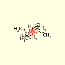 CCCCCC(OS(=O)(=O)OC(CCCCC)[Si](C)(C)C)[Si](C)(C)C